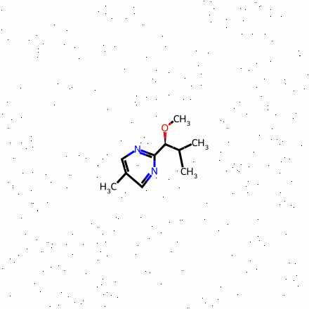 CO[C@H](c1ncc(C)cn1)C(C)C